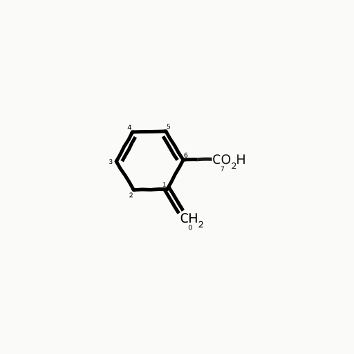 C=C1CC=CC=C1C(=O)O